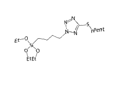 CCCCCSc1nnn(CCCC[Si](OCC)(OCC)OCC)n1